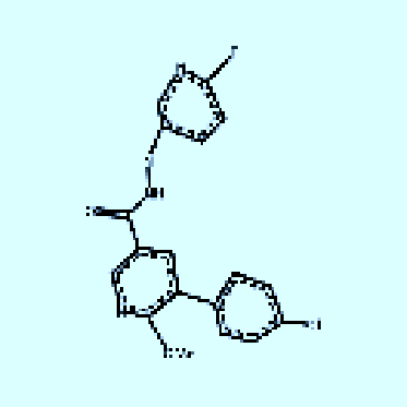 COc1ncc(C(=O)NNc2ccc(F)nc2)cc1-c1ccc(Cl)cc1